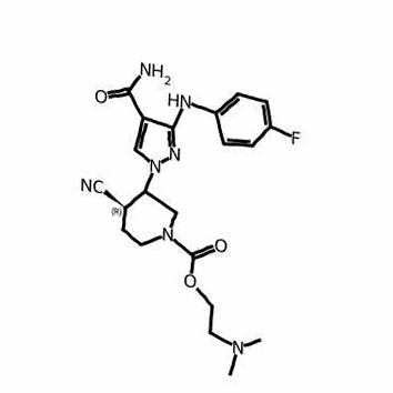 CN(C)CCOC(=O)N1CC[C@@H](C#N)C(n2cc(C(N)=O)c(Nc3ccc(F)cc3)n2)C1